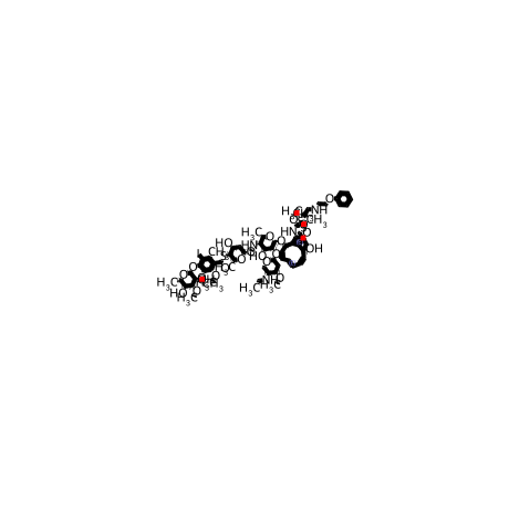 CCN[C@H]1CO[C@@H](O[C@H]2[C@H](O[C@H]3C#C/C=C/C#C[C@]4(O)CC(=O)C(NC(=O)OC)=C3/C4=C\CSSC(C)(C)CNCCOc3ccccc3)O[C@H](C)[C@@H](NO[C@H]3C[C@H](O)[C@H](SC(=O)c4c(C)c(I)c(O[C@@H]5O[C@@H](C)[C@H](O)[C@@H](OC)[C@H]5O)c(OC)c4OC)[C@@H](C)O3)[C@@H]2O)C[C@@H]1OC